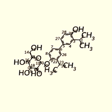 CC(C)c1cc(-c2ccc(O[C@H]3O[C@H](CO)[C@@H](O)[C@H](O)[C@@H]3O)c(C(C)C)c2)ccc1O